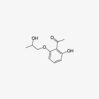 CC(=O)c1c(O)cccc1OCC(C)O